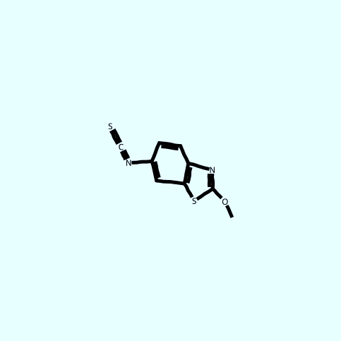 COc1nc2ccc(N=C=S)cc2s1